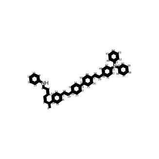 CC(/C=C\C=C/CNc1ccccc1)c1ccc(/C=C/c2ccc(-c3ccc(/C=C/c4ccc(N(c5ccccc5)c5ccccc5)cc4)cc3)cc2)cc1